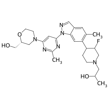 Cc1nc(N2CCO[C@@H](CO)C2)cc(-n2ncc3cc(C)c(C4CCN(CC(C)O)CC4F)cc32)n1